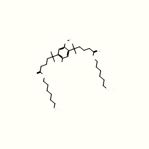 CCCCCCCCCCCCCCCCOC(=O)CCCC(C)(C)c1cc(OCC)c(C(C)(C)CCCC(=O)OCCCCCCCCCCCCCCCC)cc1O